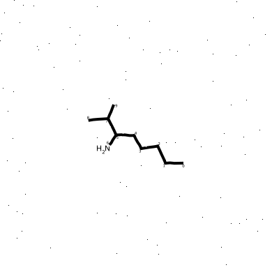 CCCCCC(N)C(C)C